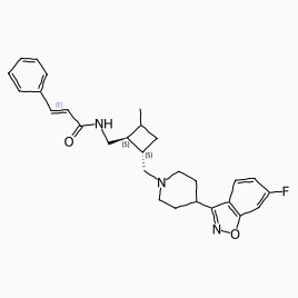 CC1C[C@H](CN2CCC(c3noc4cc(F)ccc34)CC2)[C@H]1CNC(=O)/C=C/c1ccccc1